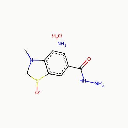 CN1C[S+]([O-])c2cc(C(=O)NN)ccc21.N.O